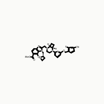 COC(=O)c1ccc2nc(CN3CCN(c4cccc(OCc5ccc(C#N)cc5F)n4)[C@H]4CC[C@H]43)n(C[C@H]3CCO3)c2c1Cl